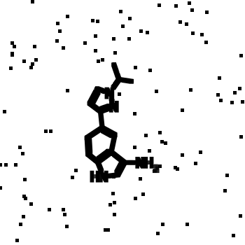 CC(C)n1ccc(-c2ccc3[nH]cc(N)c3c2)n1